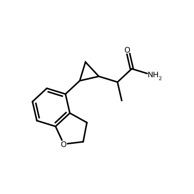 CC(C(N)=O)C1CC1c1cccc2c1CCO2